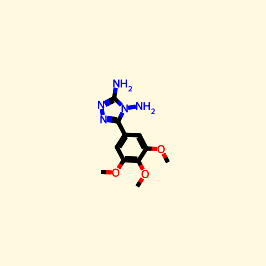 COc1cc(-c2nnc(N)n2N)cc(OC)c1OC